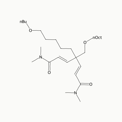 CCCCCCCCOCC(/C=C/C(=O)N(C)C)(/C=C/C(=O)N(C)C)CCCCCOCCCC